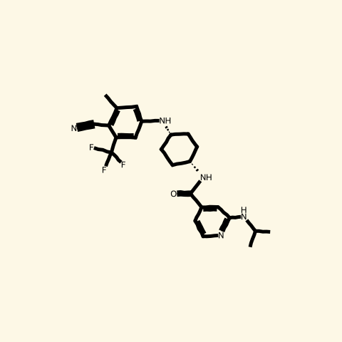 Cc1cc(N[C@H]2CC[C@@H](NC(=O)c3ccnc(NC(C)C)c3)CC2)cc(C(F)(F)F)c1C#N